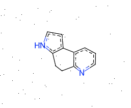 c1cnc2c(c1)-c1cc[nH]c1CC2